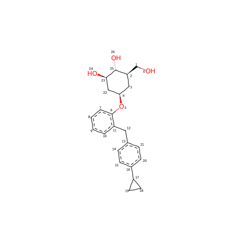 OC[C@H]1C[C@@H](Oc2ccccc2Cc2ccc(C3CC3)cc2)C[C@@H](O)[C@@H]1O